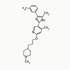 Cc1cc(OCCCC2CCN(C)CC2)ncc1-c1nc(-c2cccc(C(F)(F)F)c2)c(C)[nH]1